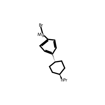 CCC[C@H]1CC[C@H](c2cc[c]([Mg][Br])cc2)CC1